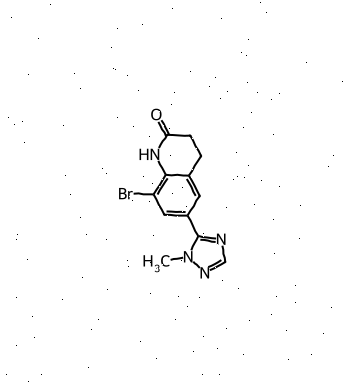 Cn1ncnc1-c1cc(Br)c2c(c1)CCC(=O)N2